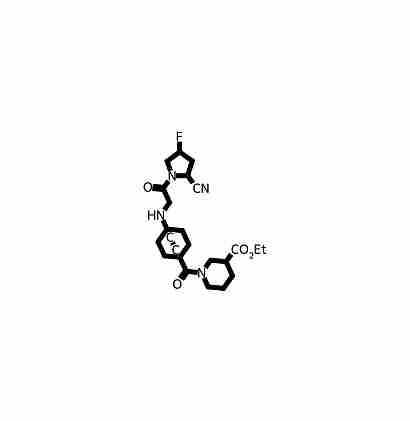 CCOC(=O)C1CCCN(C(=O)C23CCC(NCC(=O)N4CC(F)CC4C#N)(CC2)CC3)C1